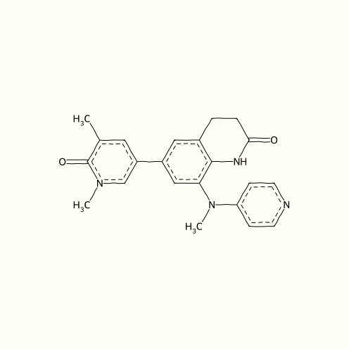 Cc1cc(-c2cc3c(c(N(C)c4ccncc4)c2)NC(=O)CC3)cn(C)c1=O